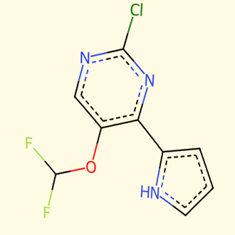 FC(F)Oc1cnc(Cl)nc1-c1ccc[nH]1